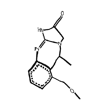 COCc1cccc2c1C(C)N1CC(=O)NC1=N2